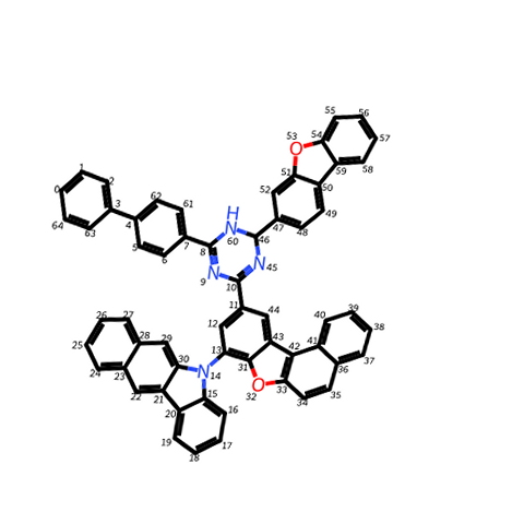 c1ccc(-c2ccc(C3=NC(c4cc(-n5c6ccccc6c6cc7ccccc7cc65)c5oc6ccc7ccccc7c6c5c4)=NC(c4ccc5c(c4)oc4ccccc45)N3)cc2)cc1